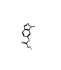 Cn1ncc2ccc(OC(N)=O)cc21